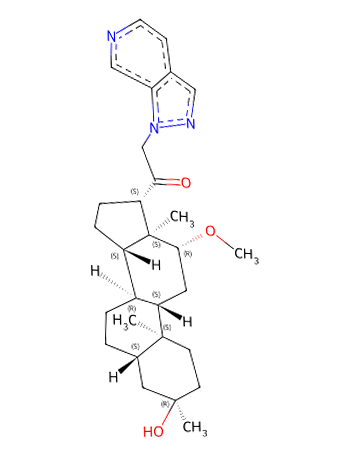 CO[C@@H]1C[C@H]2[C@@H](CC[C@H]3C[C@](C)(O)CC[C@@]32C)[C@@H]2CC[C@H](C(=O)Cn3ncc4ccncc43)[C@@]12C